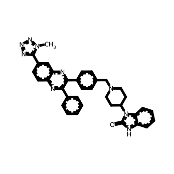 Cn1nnnc1-c1ccc2nc(-c3ccccc3)c(-c3ccc(CN4CCC(n5c(=O)[nH]c6ccccc65)CC4)cc3)nc2c1